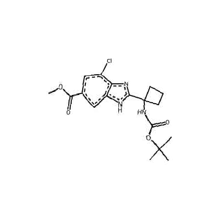 COC(=O)c1cc(Cl)c2nc(C3(NC(=O)OC(C)(C)C)CCC3)[nH]c2c1